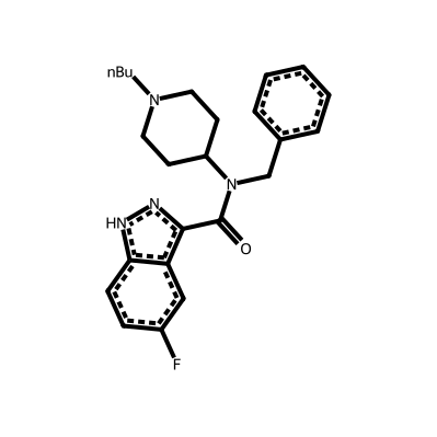 CCCCN1CCC(N(Cc2ccccc2)C(=O)c2n[nH]c3ccc(F)cc23)CC1